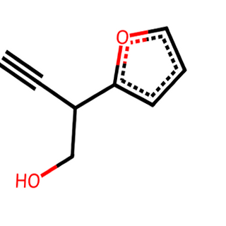 C#CC(CO)c1ccco1